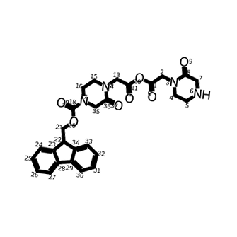 O=C(CN1CCNCC1=O)OC(=O)CN1CCN(C(=O)OCC2c3ccccc3-c3ccccc32)CC1=O